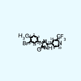 Cc1ccc(-n2nc(-c3ccnc(C(F)(F)F)c3)[nH]c2=O)cc1Br